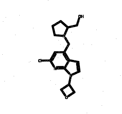 OCC1CCCN1Cc1cc(Cl)nc2c1ccn2C1COC1